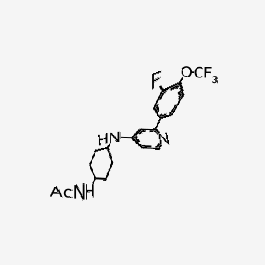 CC(=O)NC1CCC(Nc2ccnc(-c3ccc(OC(F)(F)F)c(F)c3)c2)CC1